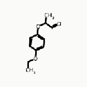 CCOc1ccc(OC(C)[C]=O)cc1